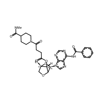 CC[C@@]12COC([C@H](n3cnc4c(NC(=O)c5ccccc5)ncnc43)O1)[C@H]2OC(=O)CCC(=O)N1CCC(C(=O)NC)CC1